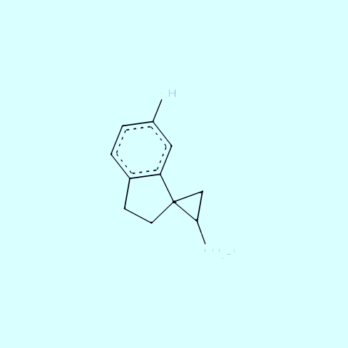 CCOC(=O)C1CC12CCc1ccc(C)cc12